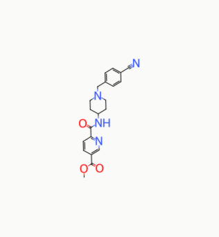 COC(=O)c1ccc(C(=O)NC2CCN(Cc3ccc(C#N)cc3)CC2)nc1